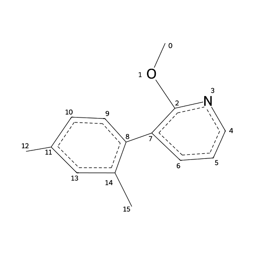 COc1ncccc1-c1ccc(C)cc1C